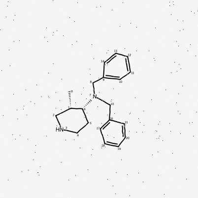 C[C@H]1CNCC[C@H]1N(Cc1ccccc1)Cc1ccccc1